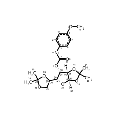 COc1ccc(NC(=O)O[C@@H]2[C@H]3OC(C)(C)O[C@H]3O[C@@H]2[C@H]2COC(C)(C)O2)cc1